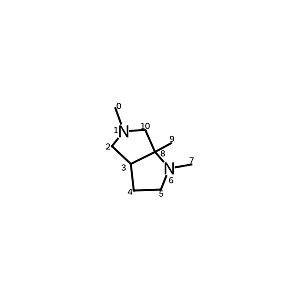 CN1CC2CCN(C)C2(C)C1